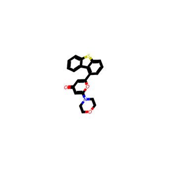 O=c1cc(-c2cccc3sc4ccccc4c23)oc(N2CCOCC2)c1